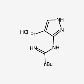 CCCCC(=N)Nc1n[nH]cc1CC.Cl